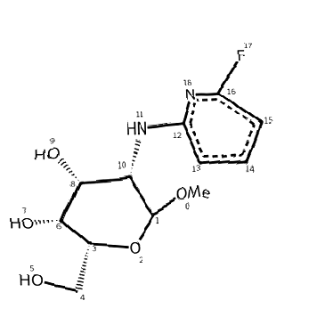 COC1O[C@H](CO)[C@H](O)[C@H](O)[C@@H]1Nc1cccc(F)n1